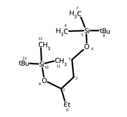 CC[C](CCO[Si](C)(C)C(C)(C)C)O[Si](C)(C)C(C)(C)C